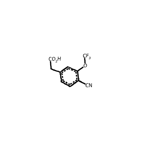 N#Cc1ccc(CC(=O)O)cc1OC(F)(F)F